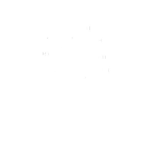 Cc1ccc(C2C=CSC2)cc1C1=C(O)C(C)(C)OC(C)(C)C1=O